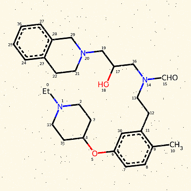 CCN1CCC(Oc2ccc(C)c(CCN(C=O)CC(O)CN3CCc4ccccc4C3)c2)CC1